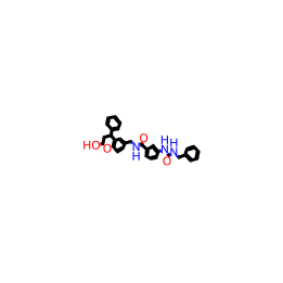 O=C(O)CC(c1ccccc1)c1cccc(CNC(=O)c2cccc(NC(=O)NCc3ccccc3)c2)c1